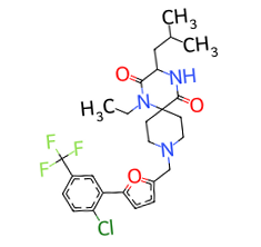 CCN1C(=O)C(CC(C)C)NC(=O)C12CCN(Cc1ccc(-c3cc(C(F)(F)F)ccc3Cl)o1)CC2